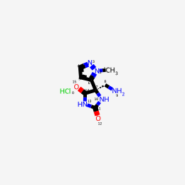 Cl.Cn1nccc1[C@@]1(CN)NC(=O)NC1=O